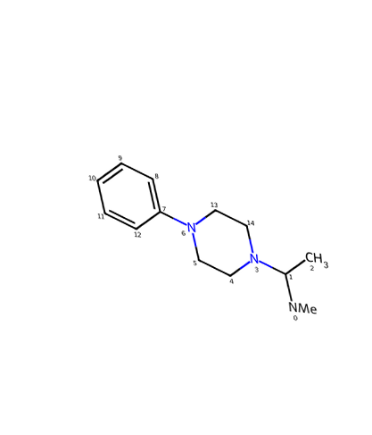 CNC(C)N1CCN(c2ccccc2)CC1